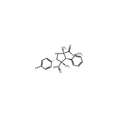 COC(=O)[C@@]1(C)N[C@@H](c2ccc(F)cc2)[C@@](C)([N+](=O)[O-])[C@@H]1c1ccccc1